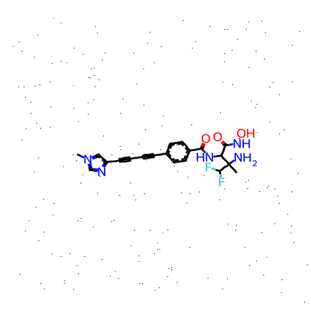 Cn1cnc(C#CC#Cc2ccc(C(=O)NC(C(=O)NO)C(C)(N)C(F)F)cc2)c1